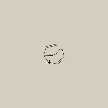 C1=Cc2ccc(cc2)[N]1